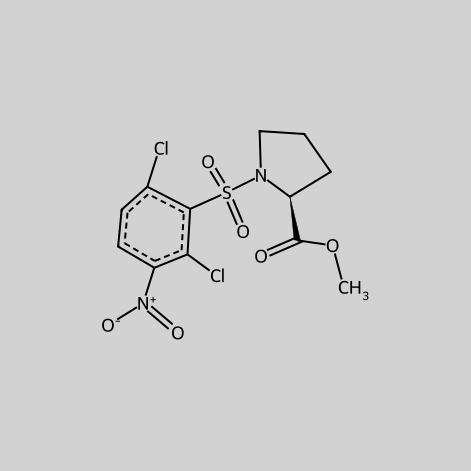 COC(=O)[C@@H]1CCCN1S(=O)(=O)c1c(Cl)ccc([N+](=O)[O-])c1Cl